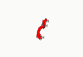 Cn1c(=O)n(C2CCC(=O)NC2=O)c2cccc(CN3CCC(OCC4CCN(C[C@H]5CC[C@H](n6cc(NC(=O)c7coc(-c8ccnc(NCC9CC9)c8)n7)c(C(F)F)n6)CC5)CC4)CC3)c21